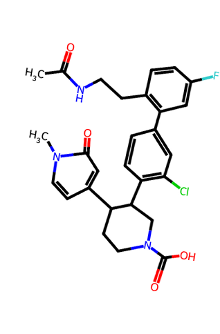 CC(=O)NCCc1ccc(F)cc1-c1ccc(C2CN(C(=O)O)CCC2c2ccn(C)c(=O)c2)c(Cl)c1